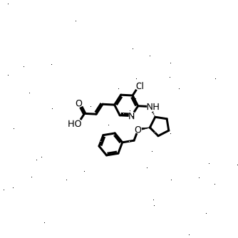 O=C(O)/C=C/c1cnc(N[C@@H]2CCC[C@H]2OCc2ccccc2)c(Cl)c1